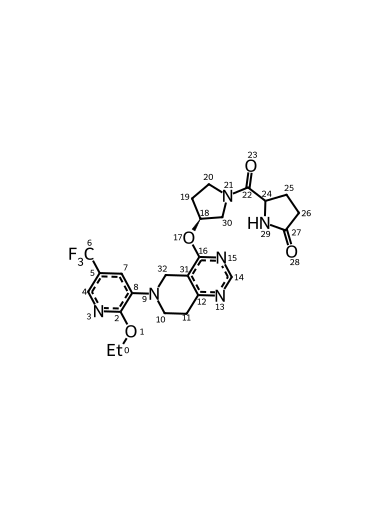 CCOc1ncc(C(F)(F)F)cc1N1CCc2ncnc(O[C@H]3CCN(C(=O)C4CCC(=O)N4)C3)c2C1